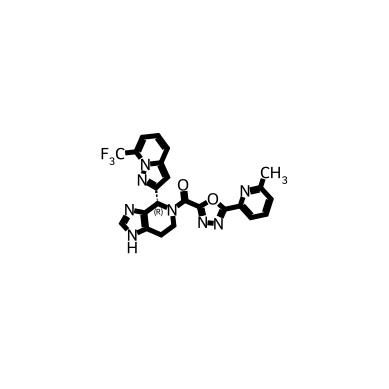 Cc1cccc(-c2nnc(C(=O)N3CCc4[nH]cnc4[C@@H]3c3cc4cccc(C(F)(F)F)n4n3)o2)n1